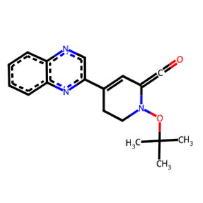 CC(C)(C)ON1CCC(c2cnc3ccccc3n2)=CC1=C=O